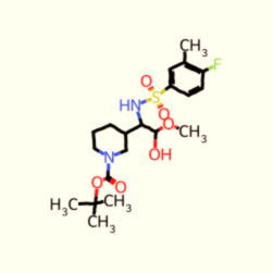 COC(O)C(NS(=O)(=O)c1ccc(F)c(C)c1)C1CCCN(C(=O)OC(C)(C)C)C1